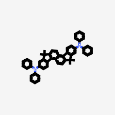 CC1(C)c2cc(N(c3ccccc3)c3ccccc3)ccc2-c2c1ccc1c3c(ccc21)C(C)(C)c1cc(N(c2ccccc2)c2ccccc2)ccc1-3